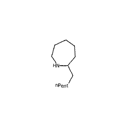 [CH2]CCCCCC1CCCCCN1